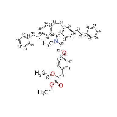 CCOC(=O)C(Cc1ccc(OCCN(C)C2c3ccc(CCc4ccccc4)cc3CCc3ccc(CCc4ccccc4)cc32)cc1)OCC